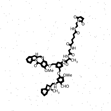 COc1cc2c(cc1OCc1cc(COc3cc(NCC4Cc5ccccc5N4C)c(C=O)cc3OC)cc(NC(=O)C(C)NC(=O)CNC(=O)CCCCC(=O)NCCN3C(=O)C=CC3=O)c1)N=C[C@@H]1Cc3ccccc3N1C2=O